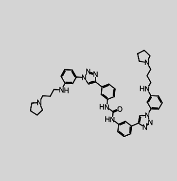 O=C(Nc1cccc(-c2cn(-c3cccc(NCCCN4CCCC4)c3)nn2)c1)Nc1cccc(-c2cn(-c3cccc(NCCCN4CCCC4)c3)nn2)c1